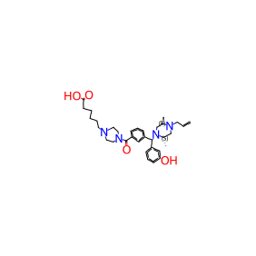 C=CCN1C[C@H](C)N(C(c2cccc(O)c2)c2cccc(C(=O)N3CCN(CCCCCC(=O)O)CC3)c2)C[C@H]1C